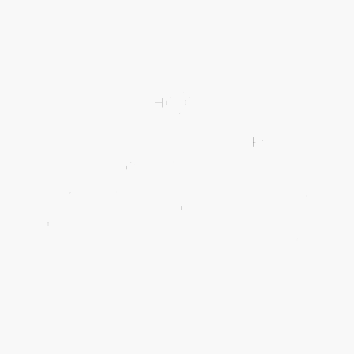 CC(C)C(C(=O)O)=C(OC1=CCCC1)OC1=CCCC1